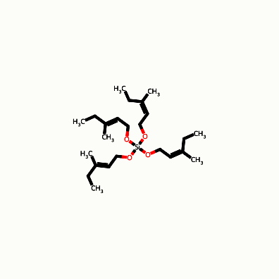 CCC(C)=CCO[Si](OCC=C(C)CC)(OCC=C(C)CC)OCC=C(C)CC